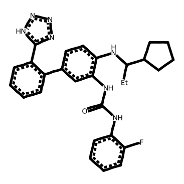 CCC(Nc1ccc(-c2ccccc2-c2nnn[nH]2)cc1NC(=O)Nc1ccccc1F)C1CCCC1